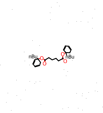 CCCCC1(OC(=O)CCCCC(=O)OC2(CCCC)C=CC=CC2)C=CC=CC1